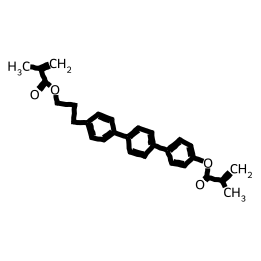 C=C(C)C(=O)OCCCc1ccc(-c2ccc(-c3ccc(OC(=O)C(=C)C)cc3)cc2)cc1